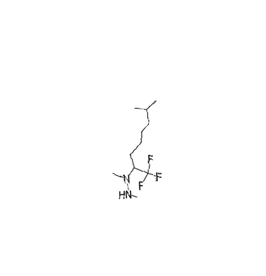 CNN(C)C(CCCCC(C)C)C(F)(F)F